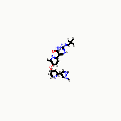 Cc1nc(-c2cnc(NCC(C)(C)C)[nH]c2=O)ccc1Oc1ccnc(-c2cnn(C)c2)c1